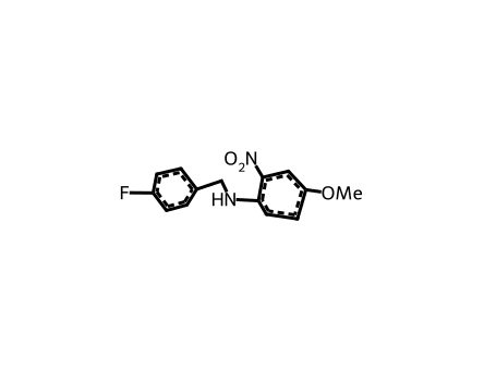 COc1ccc(NCc2ccc(F)cc2)c([N+](=O)[O-])c1